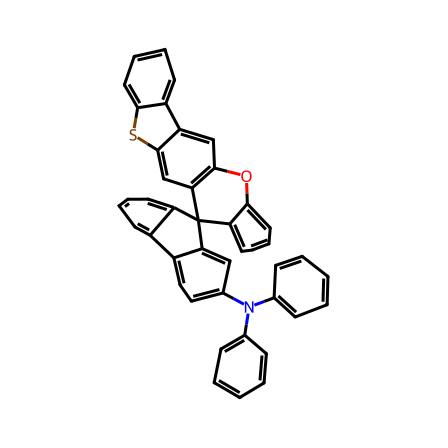 c1ccc(N(c2ccccc2)c2ccc3c(c2)C2(c4ccccc4Oc4cc5c(cc42)sc2ccccc25)c2ccccc2-3)cc1